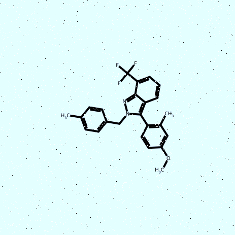 COc1ccc(-c2c3cccc(C(F)(F)F)c3nn2Cc2ccc(C)cc2)c(C)c1